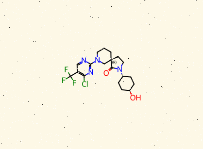 O=C1N([C@H]2CC[C@H](O)CC2)CC[C@@]12CCCN(c1ncc(C(F)(F)F)c(Cl)n1)C2